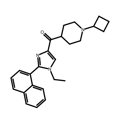 CCn1cc(C(=O)C2CCN(C3CCC3)CC2)nc1-c1cccc2ccccc12